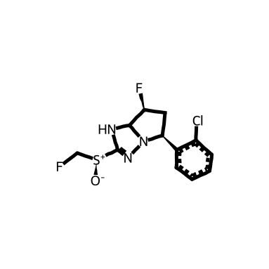 [O-][S@@+](CF)C1=NN2C(N1)[C@@H](F)C[C@H]2c1ccccc1Cl